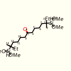 CCC(C)(CCCCC(=O)CCCCC(C)(CC)[SiH](OC)OC)[SiH](OC)OC